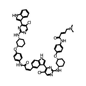 CN(C)C/C=C/C(=O)Nc1ccc(O[C@@H]2CCC[C@@H](Nc3ncc(Cl)c(-c4c[nH]c5ccc(/C=C\C(=O)Nc6ccc(O[C@@H]7CCC[C@@H](Nc8ncc(Cl)c(-c9c[nH]c%10ccccc9%10)n8)C7)cc6)cc45)n3)C2)cc1